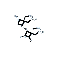 CC1[C@@H](C)C[C@@]1(CN)CC(=O)O.C[C@@H]1C[C@H](C)[C@]1(CN)CC(=O)O